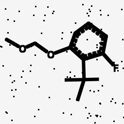 COCOc1cccc(F)c1C(C)(C)C